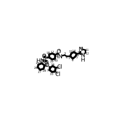 O=C(NCCc1ccc(C2=NCCN2)cc1)c1ccc(S(=O)(=O)Nc2ccccc2Oc2ccc(Cl)c(Cl)c2)cc1